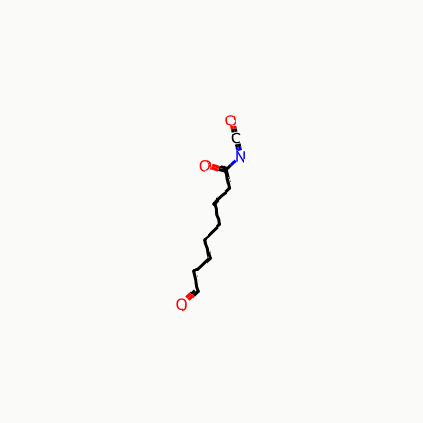 O=C=NC(=O)CCCCCCC=O